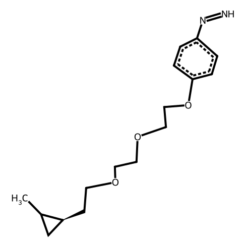 CC1C[C@@H]1CCOCCOCCOc1ccc(N=N)cc1